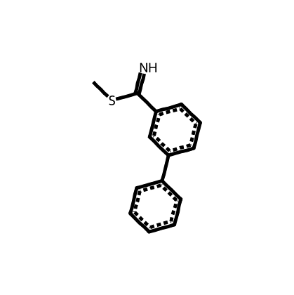 CSC(=N)c1cccc(-c2ccccc2)c1